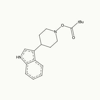 CC(C)(C)C(=O)ON1CCC(c2c[nH]c3ccccc23)CC1